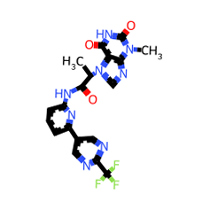 CC(C(=O)Nc1cccc(-c2cnc(C(F)(F)F)nc2)n1)n1cnc2c1c(=O)[nH]c(=O)n2C